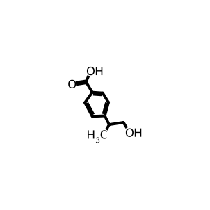 CC(CO)c1ccc(C(=O)O)cc1